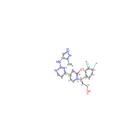 Cc1n[nH]cc1Nc1nccc(-c2ccn([C@H](CCO)c3ccc(F)c(Cl)c3)c(=O)c2)n1